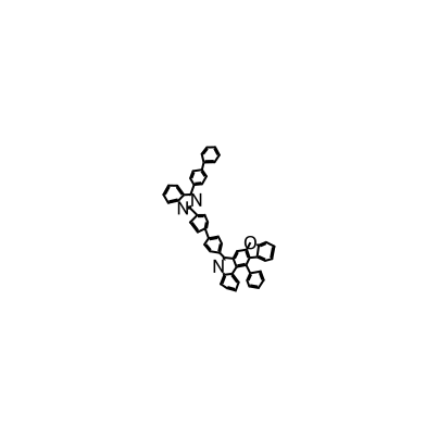 c1ccc(-c2ccc(-c3nc(-c4ccc(-c5ccc(-c6nc7ccccc7c7c(-c8ccccc8)c8c(cc67)oc6ccccc68)cc5)cc4)nc4ccccc34)cc2)cc1